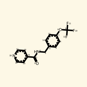 O=C(NCc1ccc(OC(F)(F)F)cc1)c1ccncc1